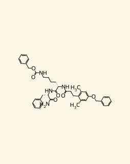 Cc1cc(OCc2ccccc2)cc(C)c1CCC(=O)N[C@@H](CCCCNC(=O)OCc1ccccc1)C(=O)N[C@@H](Cc1ccccc1)C(N)=O